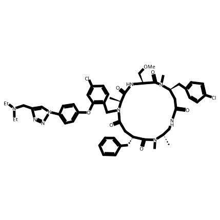 CCN(CC)Cc1cn(-c2ccc(Oc3cc(Cl)ccc3CN3C(=O)C[C@@H](Cc4ccccc4)C(=O)N(C)[C@@H](C)CNC(=O)C[C@H](Cc4ccc(Cl)cc4)N(C)C(=O)[C@H](COC)NC(=O)[C@@H]3C)cc2)nn1